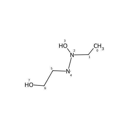 CCN(O)[N]CCO